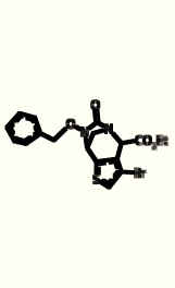 CCOC(=O)C1c2c(Br)csc2C2CN1C(=O)N2OCc1ccccc1